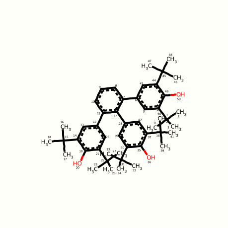 CC(C)(C)c1cc(-c2cccc(-c3cc(C(C)(C)C)c(O)c(C(C)(C)C)c3)c2-c2cc(C(C)(C)C)c(O)c(C(C)(C)C)c2)cc(C(C)(C)C)c1O